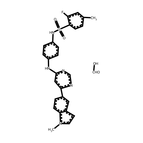 Cc1ccc(S(=O)(=O)Nc2ccc(Nc3cc(-c4ccc5c(ccn5C)c4)ncn3)cc2)c(F)c1.O=CO